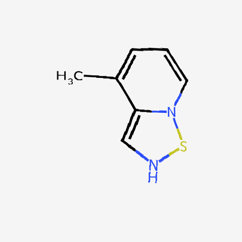 CC1=CC=CN2SNC=C12